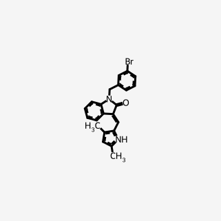 Cc1cc(C)c(C=C2C(=O)N(Cc3cccc(Br)c3)c3ccccc32)[nH]1